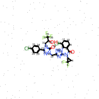 O=C(NC1CC1(F)F)c1cccc(Cl)c1-n1cnc(Cn2nc(-c3ccc(Cl)cc3)n(CC(O)C(F)(F)F)c2=O)n1